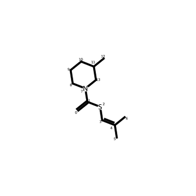 C=C(SC=C(C)C)N1CCCC(C)C1